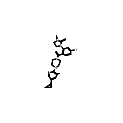 C=C(c1ccc(Cl)cc1N1CCN(C)C1=C)N1CCN(c2ncc(C3CC3)cc2C)CC1